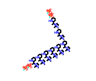 Cc1n(C)cc[n+]1C(C)C1CCCCN1.Cc1n(C)cc[n+]1C(C)C1CCCCN1.Cc1n(C)cc[n+]1C(C)C1CCCCN1.Cc1n(C)cc[n+]1C(C)C1CCCCN1.Cc1n(C)cc[n+]1C(C)C1CCCCN1.Cc1n(C)cc[n+]1C(C)C1CCCCN1.Cc1n(C)cc[n+]1C(C)C1CCCCN1.Cc1n(C)cc[n+]1C(C)C1CCCCN1.O=P([O-])([O-])F.O=P([O-])([O-])F.O=P([O-])([O-])F.O=P([O-])([O-])F